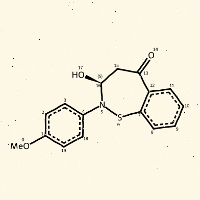 COc1ccc(N2Sc3ccccc3C(=O)C[C@@H]2O)cc1